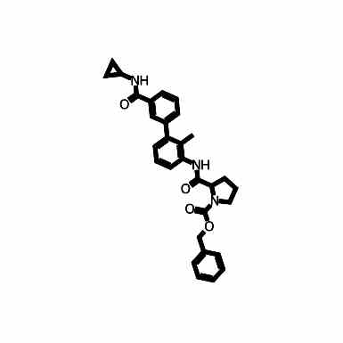 Cc1c(NC(=O)C2CCCN2C(=O)OCc2ccccc2)cccc1-c1cccc(C(=O)NC2CC2)c1